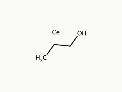 CCCO.[Ce]